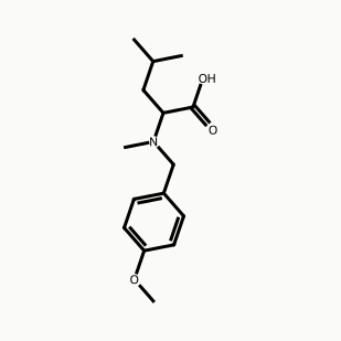 COc1ccc(CN(C)C(CC(C)C)C(=O)O)cc1